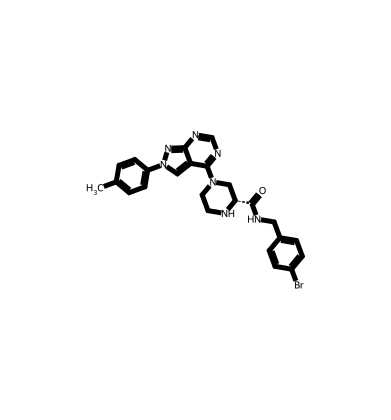 Cc1ccc(-n2cc3c(N4CCN[C@@H](C(=O)NCc5ccc(Br)cc5)C4)ncnc3n2)cc1